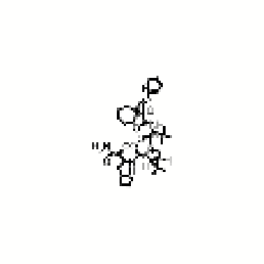 CC(C)(C)[C@H](NC(=O)NC1(C[S+]([O-])c2ccccn2)CCCCC1)C(=O)N1C[C@H]2[C@@H]([C@H]1C(=O)NC(CC1CCC1)C(=O)C(N)=O)C2(C)C